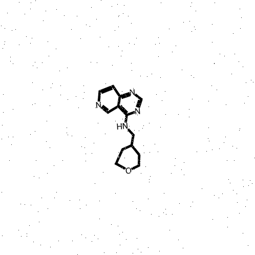 c1cc2ncnc(NCC3CCOCC3)c2cn1